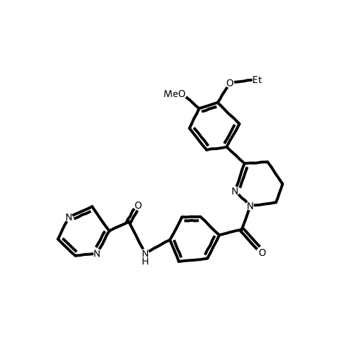 CCOc1cc(C2=NN(C(=O)c3ccc(NC(=O)c4cnccn4)cc3)CCC2)ccc1OC